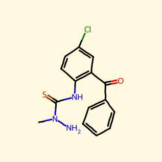 CN(N)C(=S)Nc1ccc(Cl)cc1C(=O)c1ccccc1